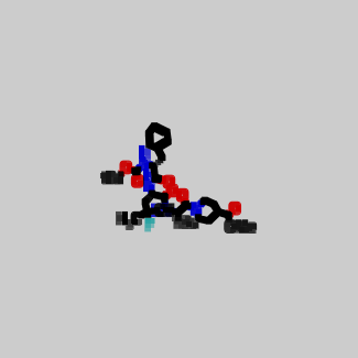 CCCCC(NC(=O)[C@@H](CC(C)(C)F)NC(=O)[C@@H](Cc1ccccc1)NC(=O)OC(C)(C)C)C(=O)N1CCC(C(=O)OC)CC1